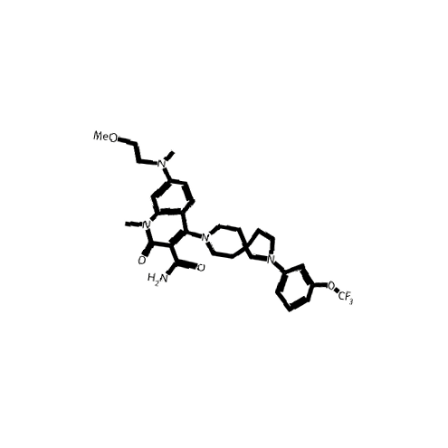 COCCN(C)c1ccc2c(N3CCC4(CCN(c5cccc(OC(F)(F)F)c5)C4)CC3)c(C(N)=O)c(=O)n(C)c2c1